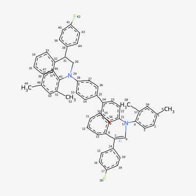 Cc1ccc(N(/C=C(\c2ccccc2)c2ccc(F)cc2)c2ccc(-c3ccc(N(CC(c4ccccc4)c4ccc(F)cc4)c4ccc(C)cc4C)cc3)cc2)c(C)c1